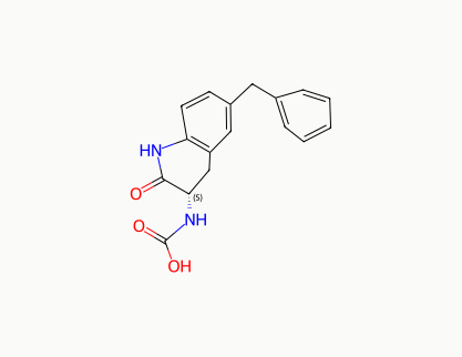 O=C(O)N[C@H]1Cc2cc(Cc3ccccc3)ccc2NC1=O